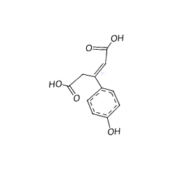 O=C(O)/C=C(\CC(=O)O)c1ccc(O)cc1